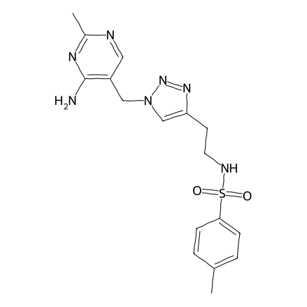 Cc1ccc(S(=O)(=O)NCCc2cn(Cc3cnc(C)nc3N)nn2)cc1